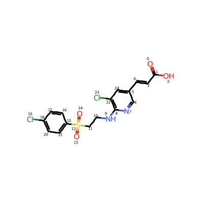 O=C(O)/C=C/c1cnc(NCCS(=O)(=O)c2ccc(Cl)cc2)c(Cl)c1